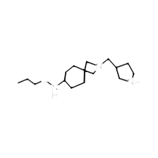 CCCSNC1CCC2(CC1)CN(CC1CCNC1)C2